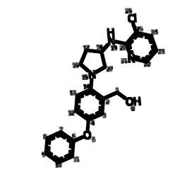 OCc1cc(Oc2ccccc2)ccc1N1CCC(Nc2ncccc2Cl)C1